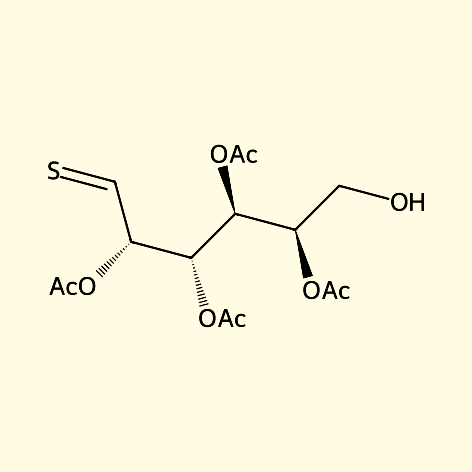 CC(=O)O[C@H]([C@H](OC(C)=O)[C@@H](C=S)OC(C)=O)[C@@H](CO)OC(C)=O